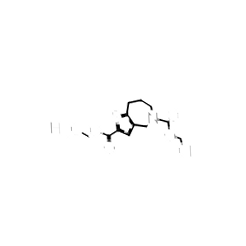 CCOC(=O)c1cc2c(s1)CCCN(C(=O)OCC)C2